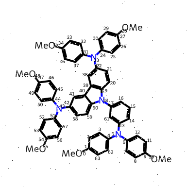 COc1ccc(N(c2ccc(OC)cc2)c2cccc(-n3c4ccc(N(c5ccc(OC)cc5)c5ccc(OC)cc5)cc4c4cc(N(c5ccc(OC)cc5)c5ccc(OC)cc5)ccc43)c2)cc1